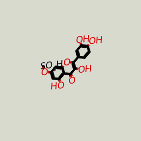 O=c1c(O)c(-c2ccc(O)c(O)c2)oc2cc(OS(=O)(=O)O)cc(O)c12